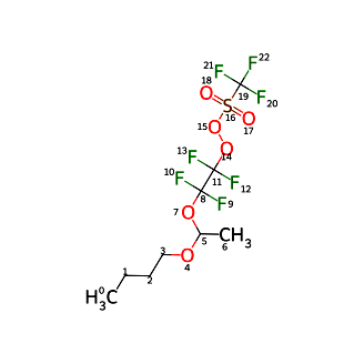 CCCCOC(C)OC(F)(F)C(F)(F)OOS(=O)(=O)C(F)(F)F